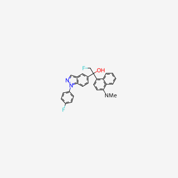 CNc1ccc(C(O)(CF)c2ccc3c(cnn3-c3ccc(F)cc3)c2)c2ccccc12